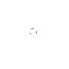 CC(C)c1ccc(OBO)cn1